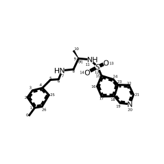 Cc1ccc(CCNC[C@@H](C)NS(=O)(=O)c2ccc3cnccc3c2)cc1